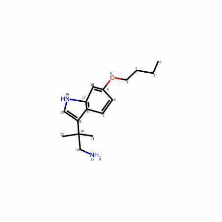 CCCCOc1ccc2c(C(C)(C)CN)c[nH]c2c1